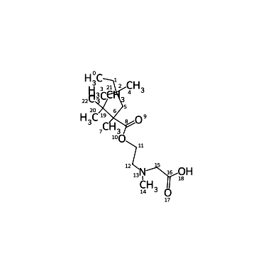 CCC(C)(C)CC(C)(C(=O)OCCN(C)CC(=O)O)C(C)(C)C